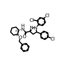 O=C(N[C@H]1CCCC[C@@H]1OCc1ccccc1)C1=NN(c2ccc(Cl)cc2Cl)C(c2ccc(Cl)cc2)C1